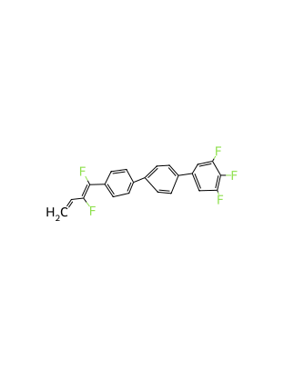 C=C/C(F)=C(\F)c1ccc(-c2ccc(-c3cc(F)c(F)c(F)c3)cc2)cc1